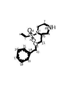 C=CS(=O)(=O)N1CCNCC1COCc1ccccc1